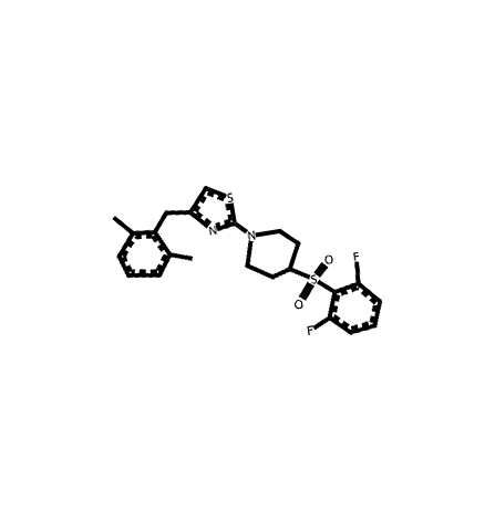 Cc1cccc(C)c1Cc1csc(N2CCC(S(=O)(=O)c3c(F)cccc3F)CC2)n1